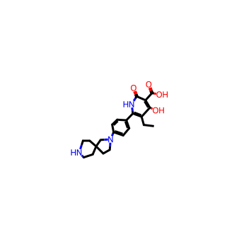 CCc1c(-c2ccc(N3CCC4(CCNCC4)C3)cc2)[nH]c(=O)c(C(=O)O)c1O